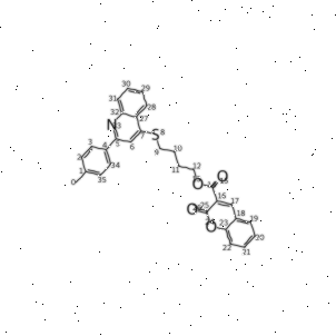 Cc1ccc(-c2cc(SCCCCOC(=O)c3cc4ccccc4oc3=O)c3ccccc3n2)cc1